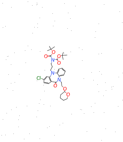 CC(C)(C)OC(=O)N(CCCN1c2cc(Cl)ccc2C(=O)N(CCOC2CCCCO2)c2ccccc21)C(=O)OC(C)(C)C